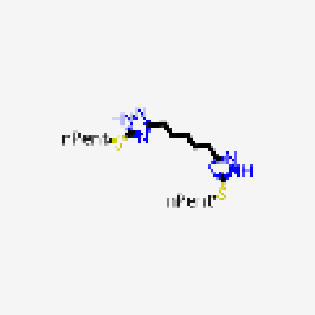 CCCCCSc1nc(CCCCCc2n[nH]c(SCCCCC)n2)n[nH]1